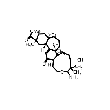 COC(=O)[C@@]1(C)CC[C@]2(C)CCC[C@]3(C)C(=CC(=O)[C@@H]4CCCC(N)C(C)(C)[C@@H](C)CC[C@]43C)[C@@H]2C1